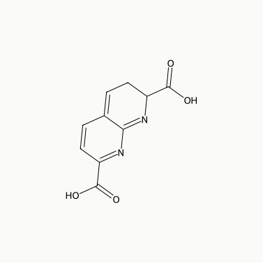 O=C(O)c1ccc2c(n1)=NC(C(=O)O)CC=2